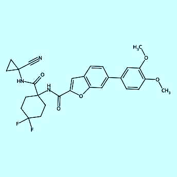 COc1ccc(-c2ccc3cc(C(=O)NC4(C(=O)NC5(C#N)CC5)CCC(F)(F)CC4)oc3c2)cc1OC